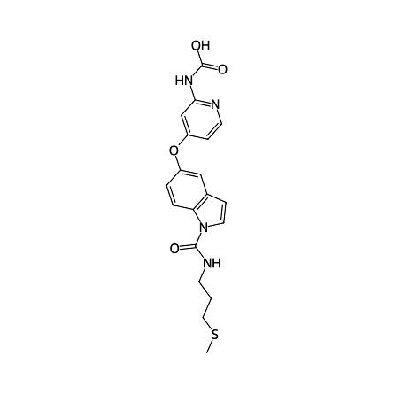 CSCCCNC(=O)n1ccc2cc(Oc3ccnc(NC(=O)O)c3)ccc21